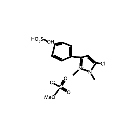 COS(=O)(=O)[O-].Cn1c(Cl)cc(-c2ccccc2)[n+]1C.O=S(=O)(O)O